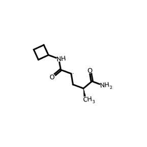 C[C@@H](C[CH]C(=O)NC1CCC1)C(N)=O